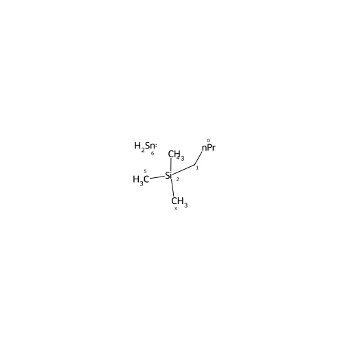 CCCC[Si](C)(C)C.[SnH2]